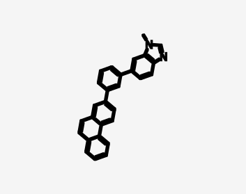 Cn1cnc2ccc(-c3cccc(-c4ccc5c(ccc6ccccc65)c4)c3)cc21